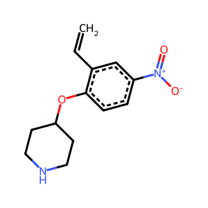 C=Cc1cc([N+](=O)[O-])ccc1OC1CCNCC1